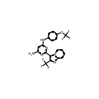 Nc1cc(Nc2ccc(OC(F)(F)F)cc2)nc(-c2c(C(F)(F)F)nc3ccccn23)n1